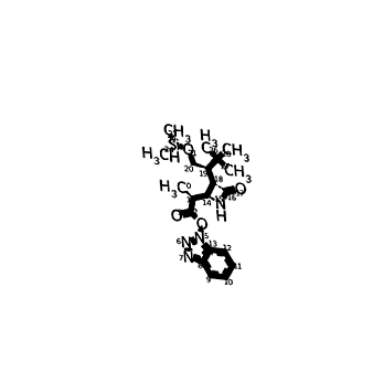 C[C@@H](C(=O)On1nnc2ccccc21)[C@H]1NC(=O)[C@H]1[C@@H](CO[SiH](C)C)C(C)(C)C